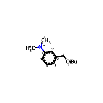 CC(C)COCc1cccc(N(C)C)c1